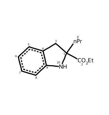 CCCC1(C(=O)OCC)Cc2ccccc2N1